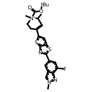 CC1C=C(c2cc3sc(-c4cc(F)c5nn(C)cc5c4)nc3s2)CC[N+]1(C)C(=O)OC(C)(C)C